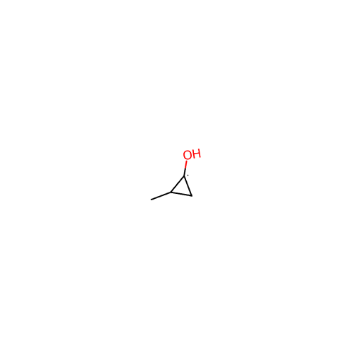 CC1C[C]1O